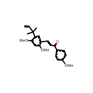 C=CC(C)(C)c1cc(C=CC(=O)c2ccc(OC)cc2)c(OC)cc1OC